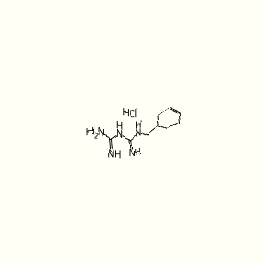 Cl.N=C(N)NC(=N)NCC1CC=CCC1